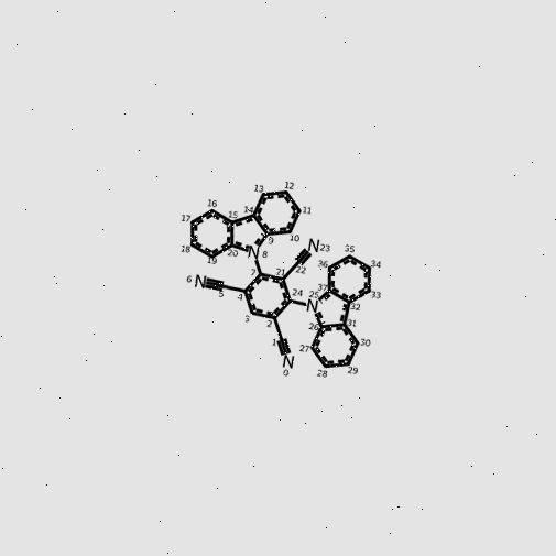 N#Cc1cc(C#N)c(-n2c3ccccc3c3ccccc32)c(C#N)c1-n1c2ccccc2c2ccccc21